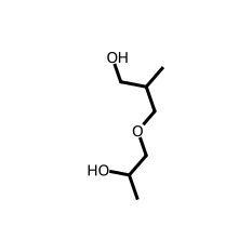 CC(O)COCC(C)CO